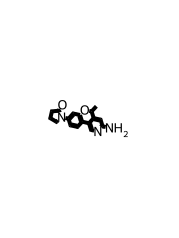 CC1Oc2cc(N3CCCC3=O)ccc2-c2cnc(N)cc21